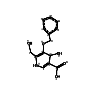 O=C(O)C1=CNC(CO)=C(OCc2ccccc2)C1O